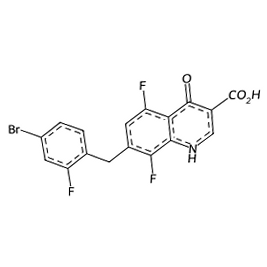 O=C(O)c1c[nH]c2c(F)c(Cc3ccc(Br)cc3F)cc(F)c2c1=O